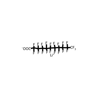 O=C([O-])C(F)(F)C(F)(F)C(F)(F)C(F)(F)C(F)(F)C(F)(F)C(F)(F)C(F)(F)C(F)(F)C(F)(F)F.[Li+]